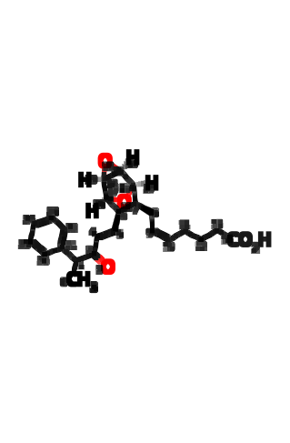 CC(C(=O)/C=C/[C@@H]1[C@H](C/C=C\CCCC(=O)O)[C@H]2O[C@@H]1[C@H]1O[C@H]12)c1ccccc1